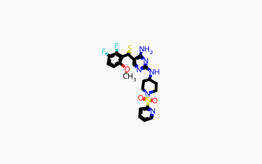 COc1ccc(F)c(F)c1C(=S)c1cnc(NC2CCN(S(=O)(=O)c3ccccn3)CC2)nc1N